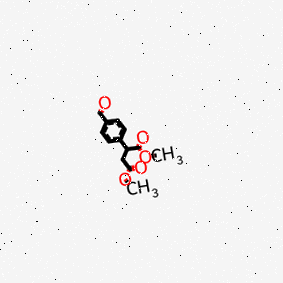 COC(=O)CC(C(=O)OC)c1ccc(C=O)cc1